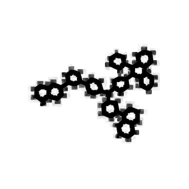 c1ccc(-c2c(-c3ccc(N(c4ccc(-c5cccc(-c6ccc7ccccc7c6)c5)cc4)c4cccc(-c5cccc6ccccc56)c4)cc3)c3ccccc3c3ccccc23)cc1